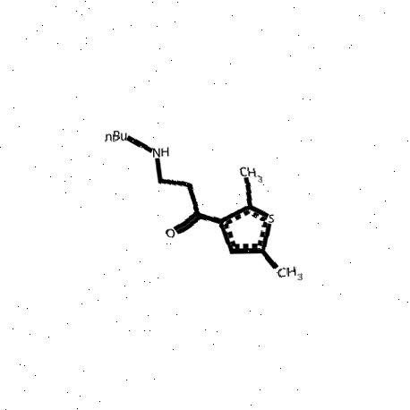 CCCCNCCC(=O)c1cc(C)sc1C